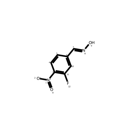 O=[N+]([O-])c1ccc(C=NO)cc1F